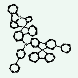 c1ccc(-c2ccc(N(c3ccc4c(c3)C3(c5ccccc5-c5ccccc53)c3cc(-c5ccccc5)ccc3-4)c3cccc4c3-c3ccccc3C43c4ccccc4-n4c5ccccc5c5cccc3c54)cc2)cc1